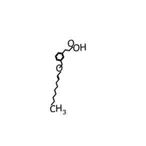 CCCCCCCCC=CCOCc1cccc(CCC(=O)O)c1